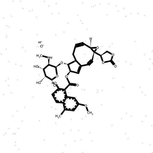 CN[C@H]1[C@@H](O[C@@H]2C3CC#C[C@H]4O[C@@]4([C@H]4COC(=O)O4)C#CC3=C[C@H]2OC(=O)c2c(O)ccc3c(C)cc(OC)cc23)O[C@H](C)[C@H](O)[C@@H]1O.[Cl-].[H+]